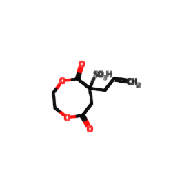 C=CCC1(S(=O)(=O)O)CC(=O)OCCOC1=O